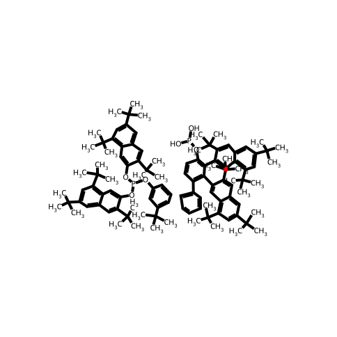 CC(C)(C)c1cc(C(C)(C)C)c2cc(-c3c(OP(O)O)ccc(-c4ccccc4)c3-c3cc4c(C(C)(C)C)cc(C(C)(C)C)cc4cc3C(C)(C)C)c(C(C)(C)C)cc2c1.CC(C)(C)c1cccc(OP(Oc2cc3c(C(C)(C)C)cc(C(C)(C)C)cc3cc2C(C)(C)C)Oc2cc3c(C(C)(C)C)cc(C(C)(C)C)cc3cc2C(C)(C)C)c1